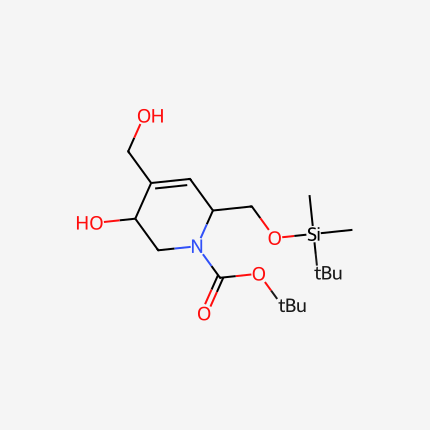 CC(C)(C)OC(=O)N1CC(O)C(CO)=CC1CO[Si](C)(C)C(C)(C)C